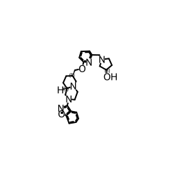 O[C@@H]1CCN(Cc2cccc(OC[C@@H]3CC[C@H]4CN(c5noc6ccccc56)CCN4C3)n2)C1